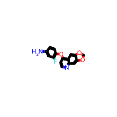 Nc1ccc(Oc2ccnc3cc4c(cc23)OCO4)c(F)c1